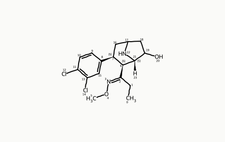 CCC(=NOC)[C@H]1[C@@H](c2ccc(Cl)c(Cl)c2)CC2CC(O)[C@H]1N2